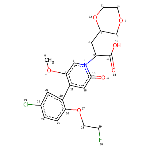 COc1cn(C(CC2COCCO2)C(=O)O)c(=O)cc1-c1cc(Cl)ccc1OCCF